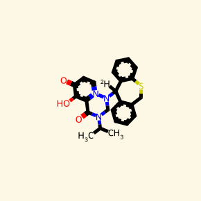 [2H]C1(N2CN(C(C)C)C(=O)c3c(O)c(=O)ccn32)c2ccccc2CSc2ccccc21